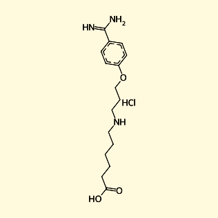 Cl.N=C(N)c1ccc(OCCCNCCCCCC(=O)O)cc1